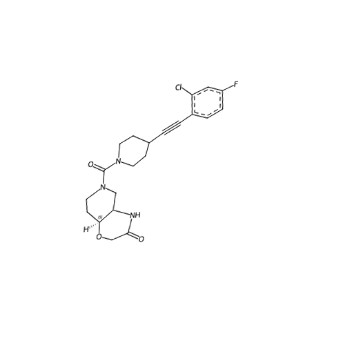 O=C1CO[C@H]2CCN(C(=O)N3CCC(C#Cc4ccc(F)cc4Cl)CC3)CC2N1